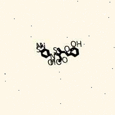 O=CN(c1ccc2snnc2c1)c1scc(-c2cc3cccc(O)c3o2)c1C(=O)O